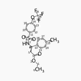 CCOC(=O)C[C@@H](NS(=O)(=O)c1ccc(OC(F)(F)F)cc1)c1ccc(C)cc1